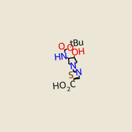 CC(C)(C)OC(=O)NC1CN(c2ncc(C(=O)O)s2)CC1O